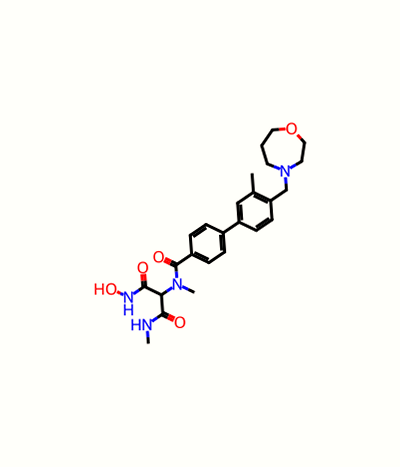 CNC(=O)C(C(=O)NO)N(C)C(=O)c1ccc(-c2ccc(CN3CCCOCC3)c(C)c2)cc1